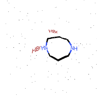 Br.Br.C1CNCCCNC1